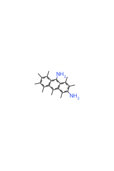 Cc1c(C)c(C)c2c(N)c3c(C)c(C)c(N)c(C)c3c(C)c2c1C